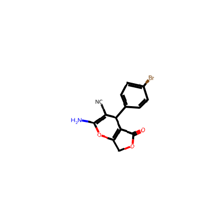 N#CC1=C(N)OC2=C(C(=O)OC2)C1c1ccc(Br)cc1